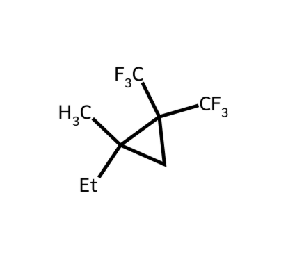 CCC1(C)CC1(C(F)(F)F)C(F)(F)F